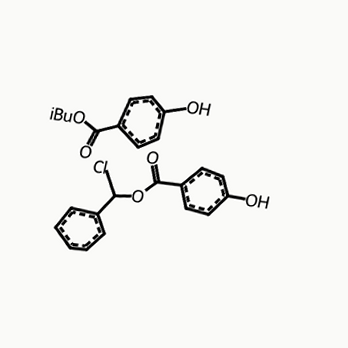 CC(C)COC(=O)c1ccc(O)cc1.O=C(OC(Cl)c1ccccc1)c1ccc(O)cc1